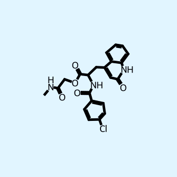 CNC(=O)COC(=O)C(Cc1cc(=O)[nH]c2ccccc12)NC(=O)c1ccc(Cl)cc1